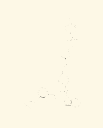 Cc1ccc(S(=O)(=O)CCOC(=O)COc2ccc(S(=O)(=O)n3c([S+]([O-])Cc4nccc(OCC(F)(F)F)c4C)nc4ccccc43)cc2)cc1